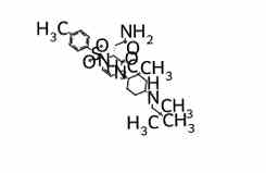 Cc1ccc(S(=O)(=O)N2C=CN([C@H]3CC[C@@H](NCC(C)(C)C)CC3(C)C)C(=O)[C@H]2CC(N)=O)cc1